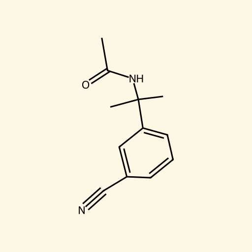 CC(=O)NC(C)(C)c1cccc(C#N)c1